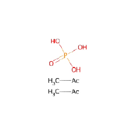 CC(C)=O.CC(C)=O.O=P(O)(O)O